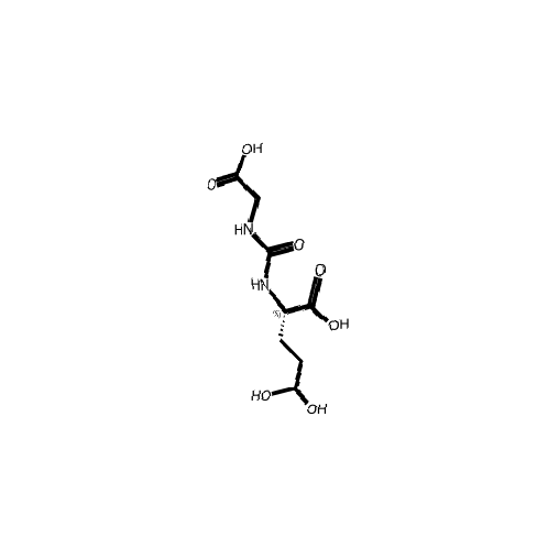 O=C(O)CNC(=O)N[C@@H](CCC(O)O)C(=O)O